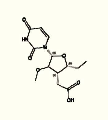 CC[C@H]1O[C@@H](n2ccc(=O)[nH]c2=O)C(OC)[C@H]1CC(=O)O